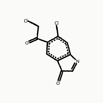 O=C(CCl)c1cc2c(cc1Cl)N=CC2=O